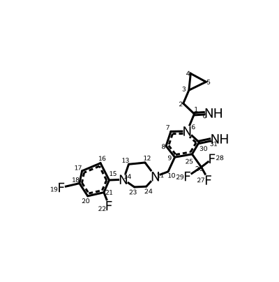 N=C(CC1CC1)n1ccc(CN2CCN(c3ccc(F)cc3F)CC2)c(C(F)(F)F)c1=N